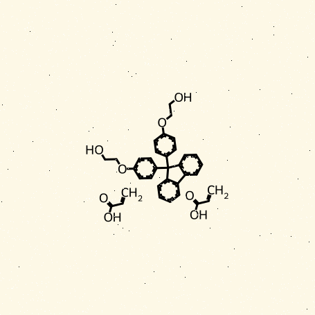 C=CC(=O)O.C=CC(=O)O.OCCOc1ccc(C2(c3ccc(OCCO)cc3)c3ccccc3-c3ccccc32)cc1